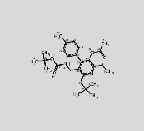 CCc1nc(CC(C)(C)C)c(CNC(=O)OC(C)(C)C)c(-c2ccc(C)cc2)c1OC(C)=O